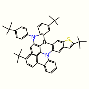 Cc1cc2c3c(c1)N(c1ccccc1-c1ccc(C(C)(C)C)cc1)c1cc4cc(C(C)(C)C)sc4cc1B3c1cc(C(C)(C)C)ccc1N2c1ccc(C(C)(C)C)cc1